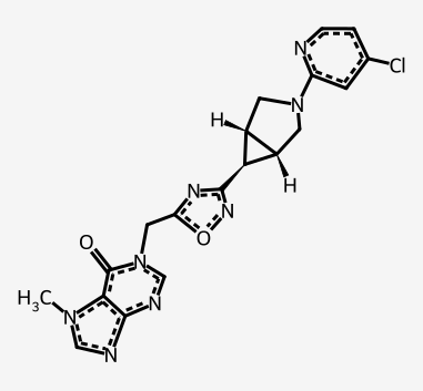 Cn1cnc2ncn(Cc3nc([C@H]4[C@@H]5CN(c6cc(Cl)ccn6)C[C@@H]54)no3)c(=O)c21